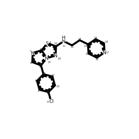 Clc1ccc(-c2cnc3sc(NCCc4ccncc4)nn23)cc1